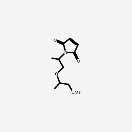 COCC(C)OCC(C)N1C(=O)C=CC1=O